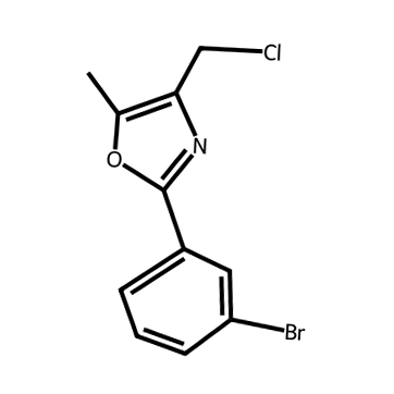 Cc1oc(-c2cccc(Br)c2)nc1CCl